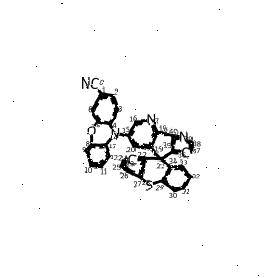 N#Cc1ccc2c(c1)Oc1ccccc1N2c1cnc2c(c1)C1(c3ccccc3Sc3ccccc31)c1cccnc1-2